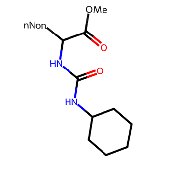 CCCCCCCCCC(NC(=O)NC1CCCCC1)C(=O)OC